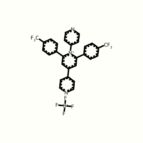 FC(F)(F)c1ccc(-c2cc(-c3ccncc3)cc(-c3ccc(C(F)(F)F)cc3)[n+]2-c2ccncc2)cc1.F[B-](F)(F)F